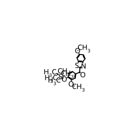 COc1ccc2nc(C(=O)c3ccc(O[Si](C)(C)C(C)(C)C)c(OC)c3)sc2c1